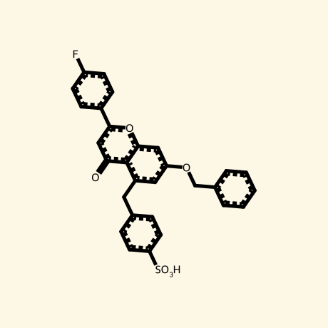 O=c1cc(-c2ccc(F)cc2)oc2cc(OCc3ccccc3)cc(Cc3ccc(S(=O)(=O)O)cc3)c12